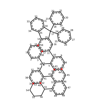 c1ccc(N(c2ccccc2-c2ccc3c(c2)C(c2ccccc2)(c2ccccc2)c2ccccc2-3)c2ccccc2-c2cccc3cccc(C4CCCCC4)c23)cc1